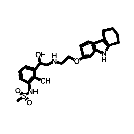 CS(=O)(=O)Nc1cccc(C(O)CNCCOc2ccc3c4c([nH]c3c2)CCCC4)c1O